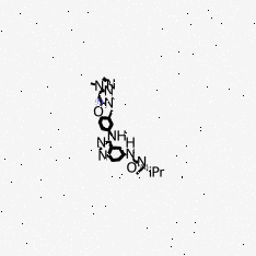 C=N/C(=C\c1nncn1C)Oc1ccc(Nc2ncnc3ccc(NC4=N[C@H](C(C)C)CO4)cc23)cc1C